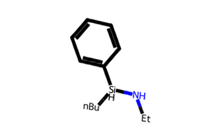 CCCC[SiH](NCC)c1ccccc1